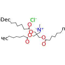 CCCCCCCCCCCCCCCC(=O)OCC(COC(=O)CCCCCCCCCCCCCCC)(COC(=O)CCCCCCCCCCCCCCC)C[N+](C)(C)C.[Cl-]